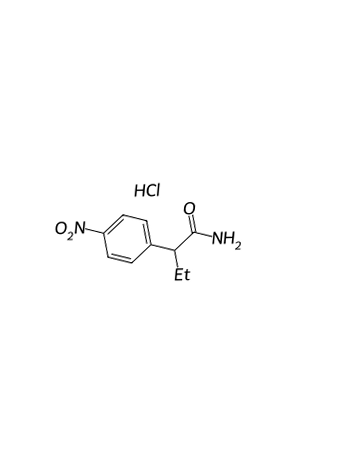 CCC(C(N)=O)c1ccc([N+](=O)[O-])cc1.Cl